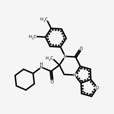 Cc1ccc(N2C(=O)c3cc4occc4n3CC2(C)C(=O)NC2CCCCC2)cc1C